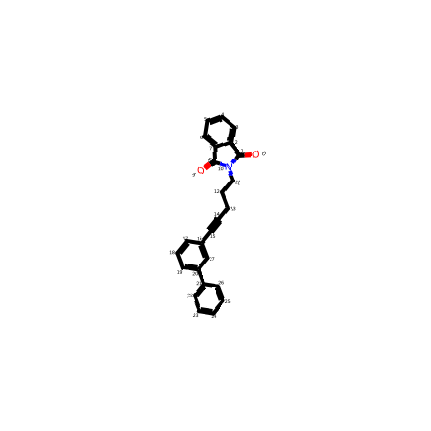 O=C1c2ccccc2C(=O)N1CCCC#Cc1cccc(-c2ccccc2)c1